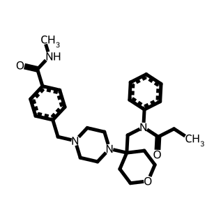 CCC(=O)N(CC1(N2CCN(Cc3ccc(C(=O)NC)cc3)CC2)CCOCC1)c1ccccc1